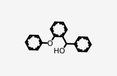 OC(c1ccccc1)c1ccccc1Oc1ccccc1